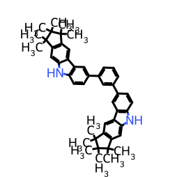 CC1(C)c2cc3[nH]c4ccc(-c5cccc(-c6ccc7[nH]c8cc9c(cc8c7c6)C(C)(C)C(C)(C)C9(C)C)c5)cc4c3cc2C(C)(C)C1(C)C